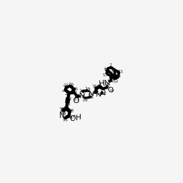 O=C(NCC12CC3CC(CC(C3)C1)C2)c1ccc(N2CCN(C(=O)c3ccccc3C#Cc3cncc(O)c3)CC2)nn1